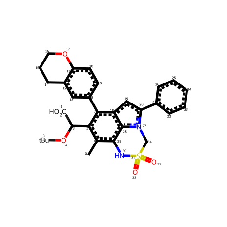 Cc1c(C(OC(C)(C)C)C(=O)O)c(-c2ccc3c(c2)CCCO3)c2cc(-c3ccccc3)n3c2c1NS(=O)(=O)C3